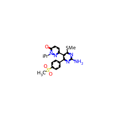 CSc1nc(N)nc(-c2ccc(S(C)(=O)=O)cc2)c1-c1ccc(=O)n(C(C)C)n1